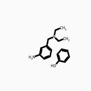 CCN(CC)Cc1cccc(N)c1.Oc1ccccc1